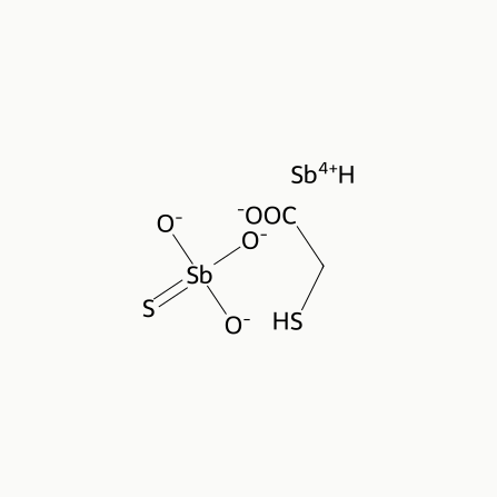 O=C([O-])CS.[O-][Sb]([O-])([O-])=[S].[SbH+4]